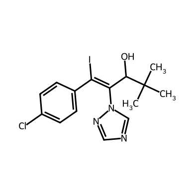 CC(C)(C)C(O)C(=C(I)c1ccc(Cl)cc1)n1cncn1